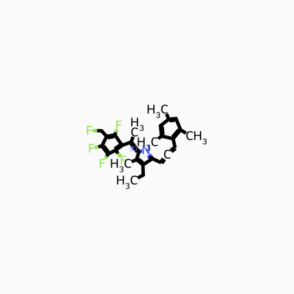 CCC1=C(C)/C(=C(/C)c2c(F)c(F)c(F)c(CF)c2F)N=C1C=C=Cc1c(C)cc(C)cc1C